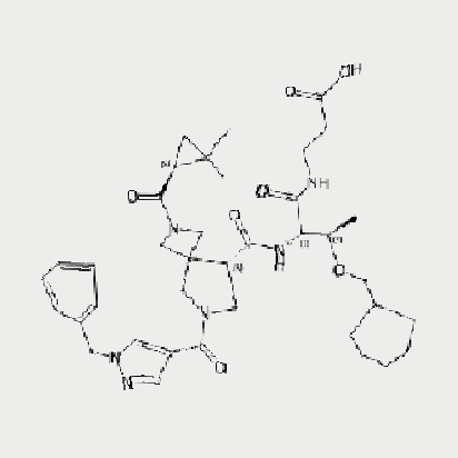 C[C@@H](OCC1CCCCC1)[C@H](NC(=O)[C@@H]1CN(C(=O)c2cnn(Cc3ccccc3)c2)CC12CN(C(=O)[C@H]1CC1(C)C)C2)C(=O)NCCC(=O)O